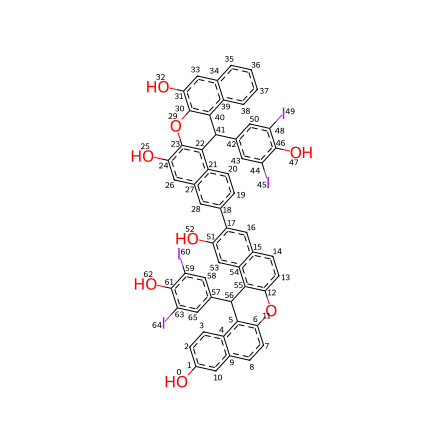 Oc1ccc2c3c(ccc2c1)Oc1ccc2cc(-c4ccc5c6c(c(O)cc5c4)Oc4c(O)cc5ccccc5c4C6c4cc(I)c(O)c(I)c4)c(O)cc2c1C3c1cc(I)c(O)c(I)c1